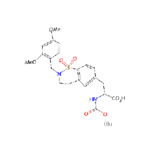 COc1ccc(CN2CCc3cc(CC(NC(=O)OC(C)(C)C)C(=O)O)ccc3S2(=O)=O)c(OC)c1